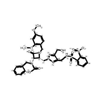 COc1ccc(CN2C(=O)[C@@H](N(Cc3ccccc3)C(=O)O)[C@H]2Cn2nc(CO)c(CNS(=O)(=O)c3ccccc3[N+](=O)[O-])n2)c(OC)c1